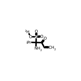 [2H]OS(=O)(=O)C(N)(C(=O)C=C)C(C)C